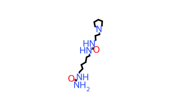 NC(=O)NCCCCCCNC(=O)NCCCN1CCCCC1